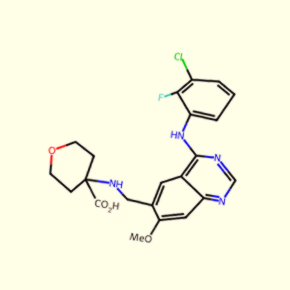 COc1cc2ncnc(Nc3cccc(Cl)c3F)c2cc1CNC1(C(=O)O)CCOCC1